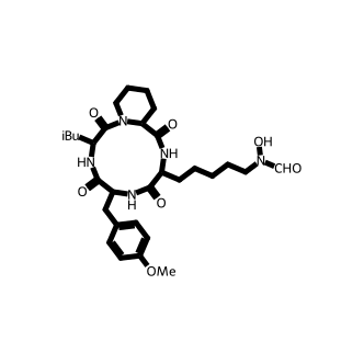 CCC(C)C1NC(=O)C(Cc2ccc(OC)cc2)NC(=O)C(CCCCCN(O)C=O)NC(=O)C2CCCCN2C1=O